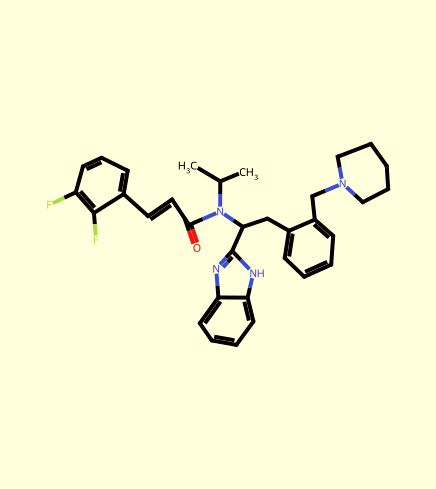 CC(C)N(C(=O)C=Cc1cccc(F)c1F)C(Cc1ccccc1CN1CCCCC1)c1nc2ccccc2[nH]1